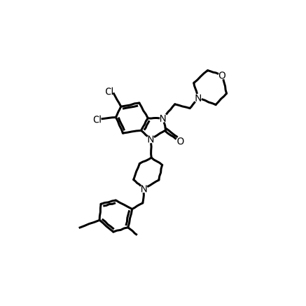 Cc1ccc(CN2CCC(n3c(=O)n(CCN4CCOCC4)c4cc(Cl)c(Cl)cc43)CC2)c(C)c1